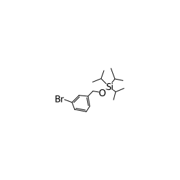 CC(C)[Si](OCc1cccc(Br)c1)(C(C)C)C(C)C